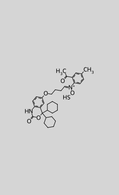 CC(=O)c1cc(C)ccc1[N+](=CCCCOc1ccc2c(c1)C(C1CCCCC1)(C1CCCCC1)OC(=O)N2)OS